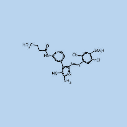 N#Cc1c(N)sc(N=Nc2cc(Cl)c(S(=O)(=O)O)cc2Cl)c1-c1cccc(NC(=O)CCC(=O)O)c1